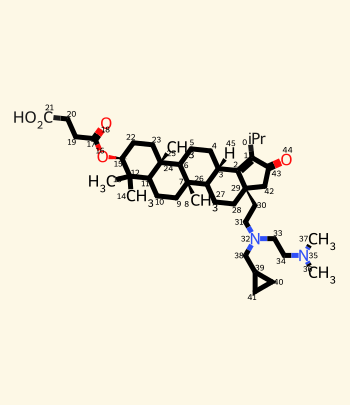 CC(C)C1=C2[C@H]3CCC4[C@@](C)(CCC5C(C)(C)[C@@H](OC(=O)CCC(=O)O)CC[C@@]54C)C3CC[C@@]2(CCN(CCN(C)C)CC2CC2)CC1=O